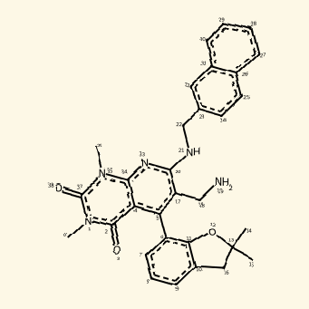 Cn1c(=O)c2c(-c3cccc4c3OC(C)(C)C4)c(CN)c(NCc3ccc4ccccc4c3)nc2n(C)c1=O